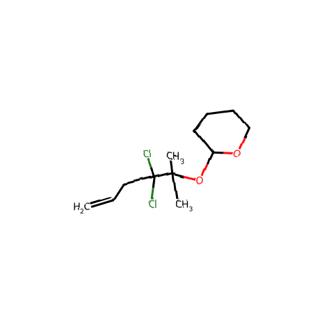 C=CCC(Cl)(Cl)C(C)(C)OC1CCCCO1